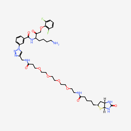 NCCCCC(NC(=O)c1cccc(-n2cc(CNC(=O)CCOCCOCCOCCOCCNC(=O)CCCC[C@H]3C[C@@H]4NC(=O)N[C@@H]4S3)nn2)c1)C(=O)COc1c(F)cccc1F